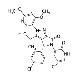 COc1ncc(-n2nc3c(c2C(C)C)[C@@H](c2ccc(Cl)cc2)N(c2cc(Cl)c[nH]c2=O)C3=O)c(OC)n1